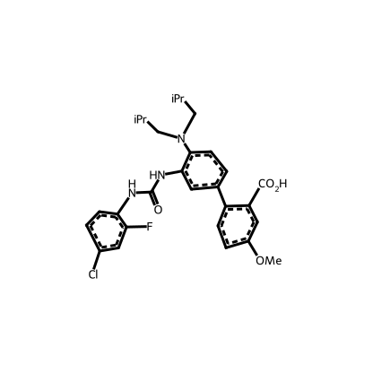 COc1ccc(-c2ccc(N(CC(C)C)CC(C)C)c(NC(=O)Nc3ccc(Cl)cc3F)c2)c(C(=O)O)c1